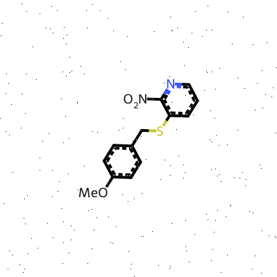 COc1ccc(CSc2cccnc2[N+](=O)[O-])cc1